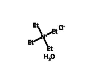 CC[N+](CC)(CC)CC.O.[Cl-]